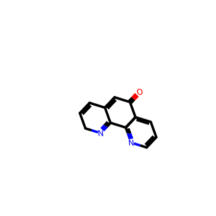 O=C1C=C2C=CCN=C2c2ncccc21